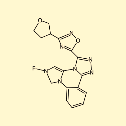 FN1C=C2N(C1)c1ccccc1-c1nnc(-c3nc(C4CCOC4)no3)n12